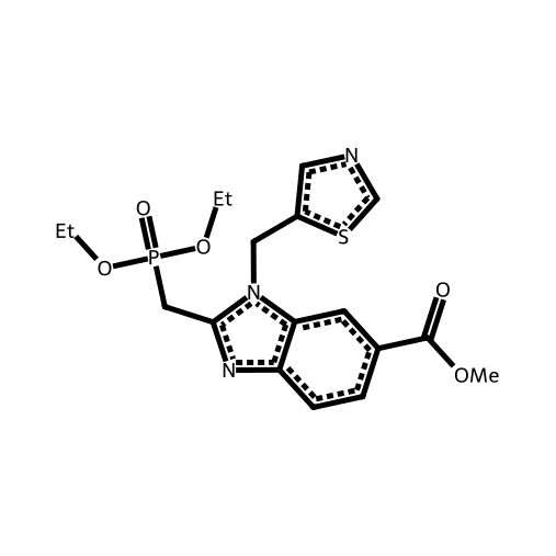 CCOP(=O)(Cc1nc2ccc(C(=O)OC)cc2n1Cc1cncs1)OCC